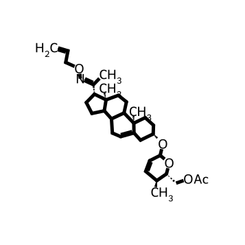 C=CCO/N=C(\C)[C@H]1CCC2C3CC=C4C[C@@H](OC5C=C[C@H](C)[C@@H](COC(C)=O)O5)CC[C@]4(C)C3CC[C@@]21C